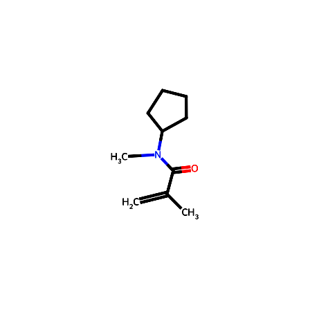 C=C(C)C(=O)N(C)C1CCCC1